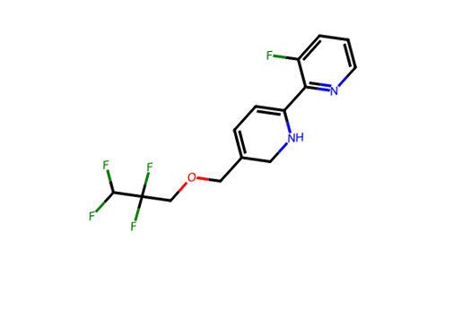 Fc1cccnc1C1=CC=C(COCC(F)(F)C(F)F)CN1